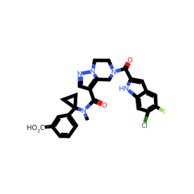 CN(C(=O)c1cnn2c1CN(C(=O)c1cc3cc(F)c(Cl)cc3[nH]1)CC2)C1(c2cccc(C(=O)O)c2)CC1